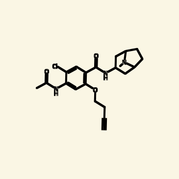 C#CCCOc1cc(NC(C)=O)c(Cl)cc1C(=O)NC1CC2CCC(C1)N2C